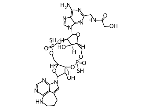 Nc1nc(CNC(=O)CO)nc2c1ncn2[C@@H]1O[C@@H]2COP(=O)(S)O[C@H]3[C@@H](O)[C@H](n4cc5c6c(ncnc64)NCCC5)O[C@@H]3COP(=O)(S)O[C@@H]1[C@@H]2O